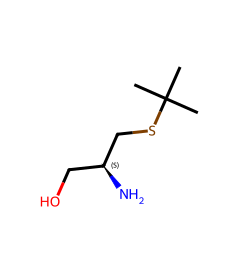 CC(C)(C)SC[C@@H](N)CO